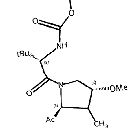 CO[C@H]1CN(C(=O)[C@@H](NC(=O)OC(C)(C)C)C(C)(C)C)[C@H](C(C)=O)C1C